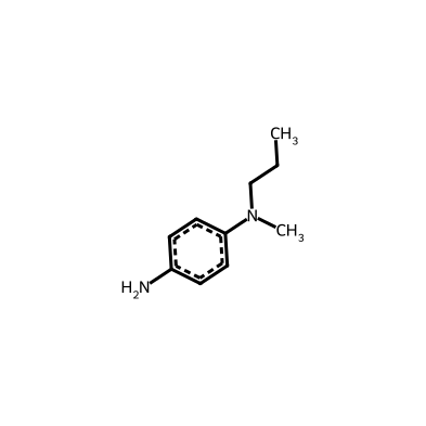 CCCN(C)c1ccc(N)cc1